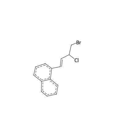 ClC(C=Cc1cccc2ccccc12)CBr